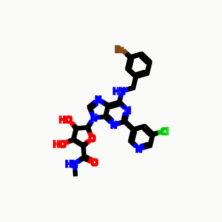 CNC(=O)C1OC(n2cnc3c(NCc4cccc(Br)c4)nc(-c4cncc(Cl)c4)nc32)C(O)C1O